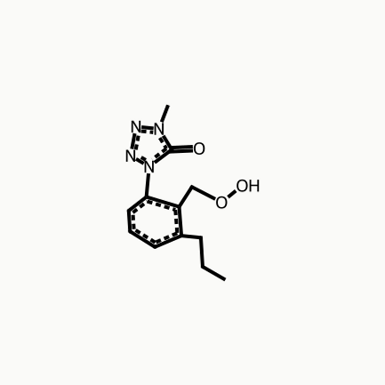 CCCc1cccc(-n2nnn(C)c2=O)c1COO